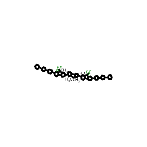 CC1(C)c2cc(-c3ccc4c(c3)C(C)(C(F)(F)F)c3cc(-c5ccc(-c6ccc(-c7ccccc7)cc6)cc5)ccc3-4)ccc2-c2ccc(-c3ccc4c(c3)C(C)(C(F)(F)F)c3cc(-c5ccc(-c6ccc(-c7ccccc7)cc6)cc5)ccc3-4)cc21